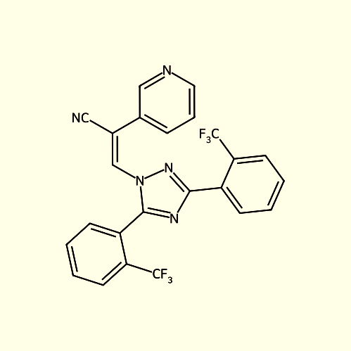 N#CC(=Cn1nc(-c2ccccc2C(F)(F)F)nc1-c1ccccc1C(F)(F)F)c1cccnc1